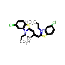 CCC(=Cc1sc2ccc(Cl)cc2[n+]1CCC(=O)O)C=C1Sc2ccc(Cl)cc2N1CCC(=O)O